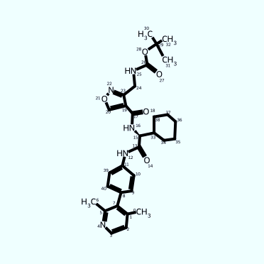 Cc1ccnc(C)c1-c1ccc(NC(=O)[C@@H](NC(=O)c2conc2CNC(=O)OC(C)(C)C)C2CCCCC2)cc1